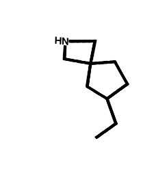 CCC1CCC2(CNC2)C1